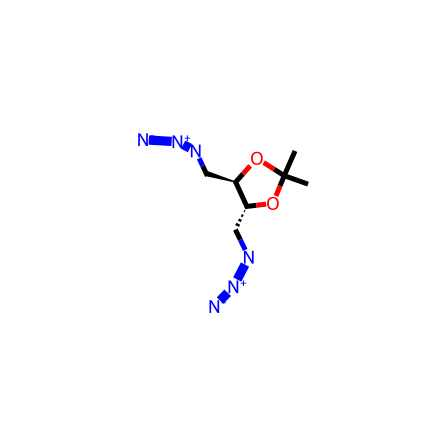 CC1(C)O[C@H](CN=[N+]=[N-])[C@@H](CN=[N+]=[N-])O1